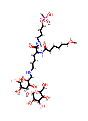 COCCCCCC(=O)NC(CCCCNCC(O)C(O)[C@H](O[C@@H]1OC(CO)C(O)C(O)C1O)C(O)CO)C(=O)NCCCCOP(C)(=O)O